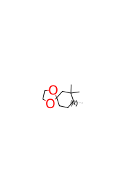 C[C@@H]1CCC2(CC1(C)C)OCCO2